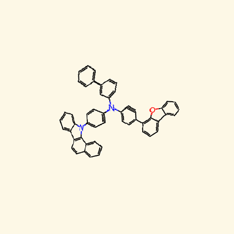 c1c(-c2cccc3c2oc2ccccc23)ccc(N(c2ccc(-n3c4ccccc4c4ccc5ccccc5c43)cc2)c2cccc(-c3ccccc3)c2)c#1